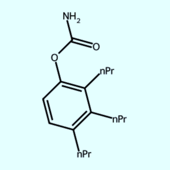 CCCc1ccc(OC(N)=O)c(CCC)c1CCC